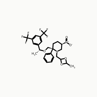 CC1OC(CN2C[C@H]([N+](=O)[O-])CC[C@@]2(CO[C@H](C)c2cc(C(F)(F)F)cc(C(F)(F)F)c2)c2ccccc2)O1